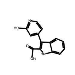 O=C(O)c1[nH]c2ccccc2c1-c1ccnc(O)c1